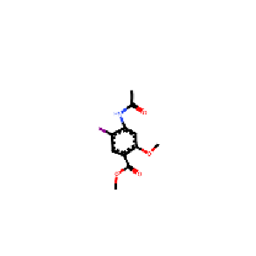 COC(=O)c1cc(I)c(NC(C)=O)cc1OC